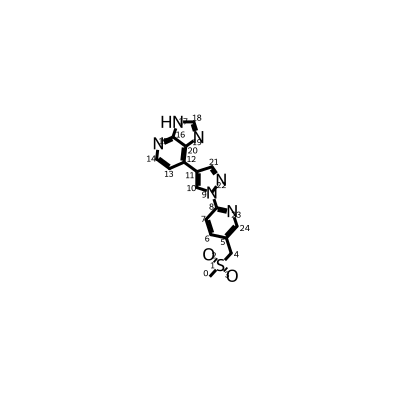 CS(=O)(=O)Cc1ccc(-n2cc(-c3ccnc4[nH]cnc34)cn2)nc1